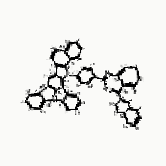 c1ccc2cc(-c3nc(-c4ccc(-n5c6c7ccccc7ccc6c6cc7c8ccccc8n8c9ccccc9c(c65)c78)cc4)nc4ccccc34)ccc2c1